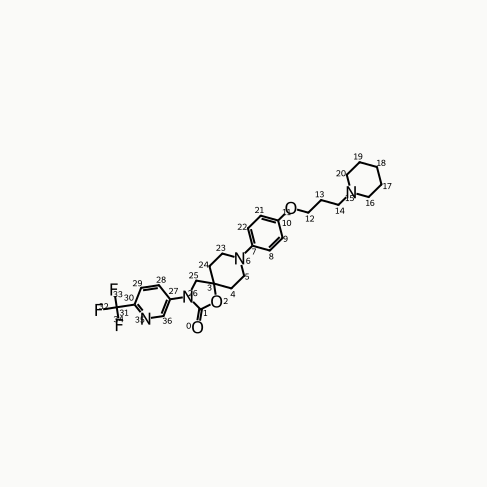 O=C1OC2(CCN(c3ccc(OCCCN4CCCCC4)cc3)CC2)CN1c1ccc(C(F)(F)F)nc1